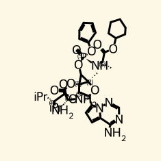 CC(C)[C@@H](N)C(=O)O[C@H]1[C@H](c2ccc3c(N)ncnn23)O[C@]2(C)C(O[P@@](=O)(N[C@@H](C)C(=O)OC3CCCCC3)Oc3ccccc3)[C@]12OC(=O)[C@H](N)C(C)C